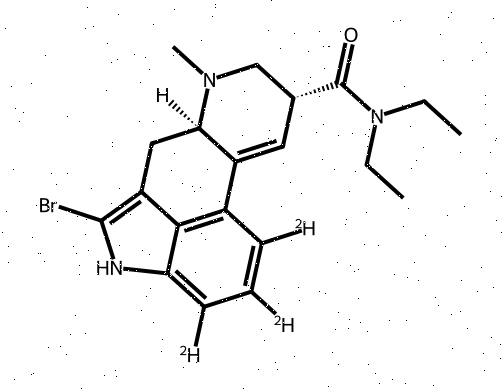 [2H]c1c([2H])c2c3c(c(Br)[nH]c3c1[2H])C[C@@H]1C2=C[C@@H](C(=O)N(CC)CC)CN1C